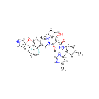 COCC[C@]1(Oc2ccc(CN3C(=O)C(C(=O)Nc4ccc(C(F)(F)F)cc4-c4cc(C(F)(F)F)ncn4)=C(O)C4(CCC4)N3C)c(F)c2F)CCNC1